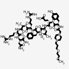 COCCOCCCN1CCN(CC(=O)N[C@@H](Cc2ccc(O)cc2)C(=O)N[C@@H](CCC(=O)O)C(=O)N[C@@H](CC(C)C)C(=O)N[C@@H](Cc2ccccc2)C(=O)N[C@@H](CCCNC(=N)N)C(=O)N(C)[C@@H](C)C(=O)N[C@@H](CCCNC(=N)N)C(=O)N[C@@H](CC(N)=O)C(N)=O)CC1